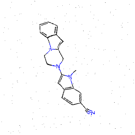 Cn1c(N2CCn3c(cc4ccccc43)C2)cc2ccc(C#N)cc21